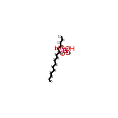 CCCCCCCCCCC(CCCCC)OP(=O)(O)O